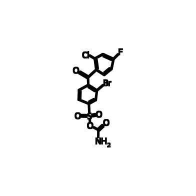 NC(=O)OS(=O)(=O)c1ccc(C(=O)c2ccc(F)cc2Cl)c(Br)c1